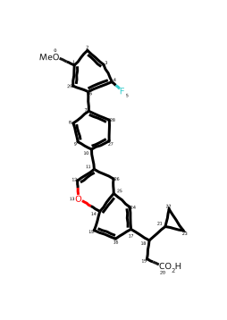 COc1ccc(F)c(-c2ccc(C3=COc4ccc(C(CC(=O)O)C5CC5)cc4C3)cc2)c1